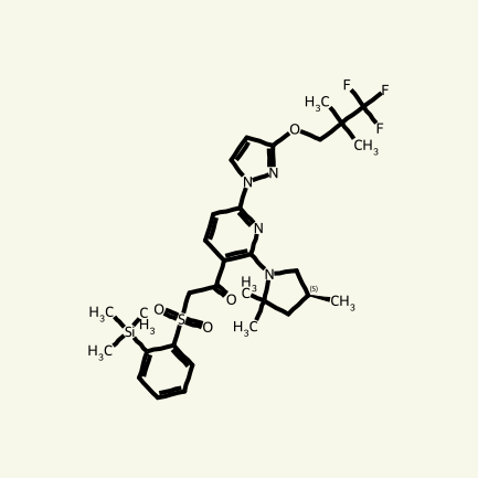 C[C@@H]1CN(c2nc(-n3ccc(OCC(C)(C)C(F)(F)F)n3)ccc2C(=O)CS(=O)(=O)c2ccccc2[Si](C)(C)C)C(C)(C)C1